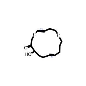 O=C1CC/C=C/CCCCCC/C=C/CCC1O